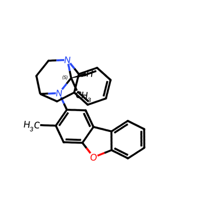 Cc1cc2oc3ccccc3c2cc1N1C2CCN(c3ccccc3C2)[C@@H]1C